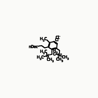 CCCCCCCCCCCCc1c(C)ccc(C[N+](C)(C)C)c1C[N+](C)(C)C.[Cl-].[Cl-]